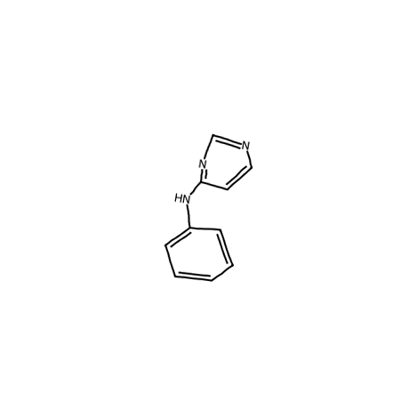 c1ccc(Nc2ccncn2)cc1